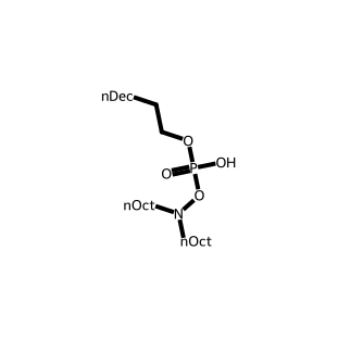 CCCCCCCCCCCCOP(=O)(O)ON(CCCCCCCC)CCCCCCCC